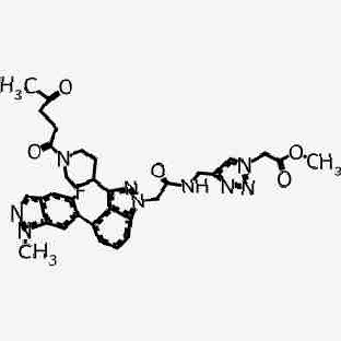 COC(=O)Cn1cc(CNC(=O)Cn2nc(C3CCN(C(=O)CCC(C)=O)CC3)c3c(-c4cc5c(cnn5C)cc4F)cccc32)nn1